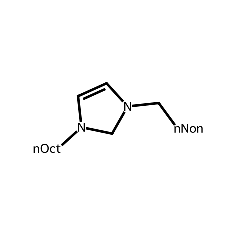 CCCCCCCCCCN1C=CN(CCCCCCCC)C1